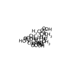 CC1=C(CO)C(=O)O[C@@H]([C@@H](C)[C@H]2CC[C@H]3[C@@H]4C[C@H](S[C@H]5C[C@H]6[C@@H]7CC[C@H]([C@H](C)[C@H]8CC(C)=C(CO)C(=O)O8)[C@@]7(C)CC[C@@H]6[C@@]6(C)C(=O)C=C[C@H](O)[C@@]56O)[C@]5(O)[C@@H](O)C=CC(=O)[C@]5(C)[C@H]4CC[C@]23C)C1